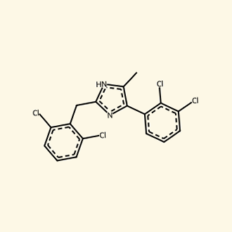 Cc1[nH]c(Cc2c(Cl)cccc2Cl)nc1-c1cccc(Cl)c1Cl